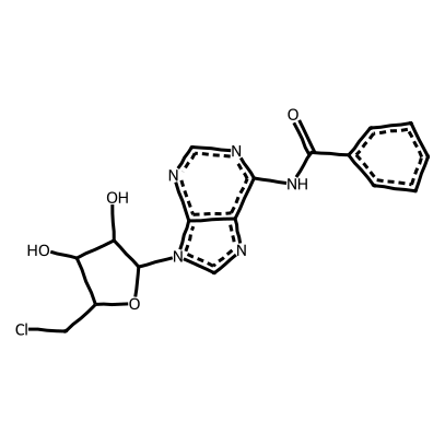 O=C(Nc1ncnc2c1ncn2C1OC(CCl)C(O)C1O)c1ccccc1